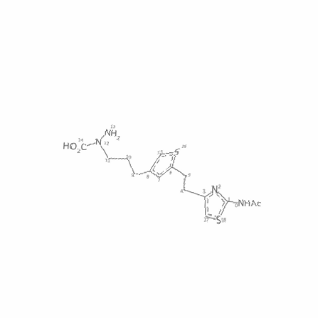 CC(=O)Nc1nc(CCc2cc(CCCN(N)C(=O)O)cs2)cs1